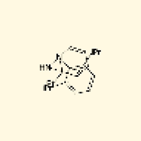 CCC12C=CC=C[N+]1(c1c(C(C)C)cccc1C(C)C)N2